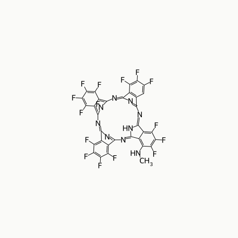 CNc1c(F)c(F)c(F)c2c3nc4nc(nc5c6c(F)c(F)c(F)c(F)c6c(nc6nc(nc([nH]3)c12)-c1c(F)c(F)c(F)c(F)c1-6)n5F)-c1c-4cc(F)c(F)c1F